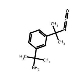 CC(C)(N)c1cccc(C(C)(C)N=C=O)c1